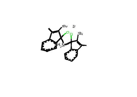 CC1=C(C(C)(C)C)C(Cl)([SiH2]C2(Cl)C(C(C)(C)C)=C(C)c3ccccc32)c2ccccc21.[Zr]